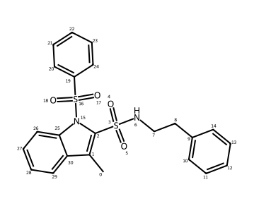 Cc1c(S(=O)(=O)NCCc2ccccc2)n(S(=O)(=O)c2ccccc2)c2ccccc12